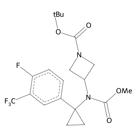 COC(=O)N(C1CN(C(=O)OC(C)(C)C)C1)C1(c2ccc(F)c(C(F)(F)F)c2)CC1